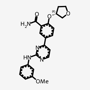 COc1cccc(Nc2nccc(-c3ccc(O[C@@H]4CCOC4)c(C(N)=O)c3)n2)c1